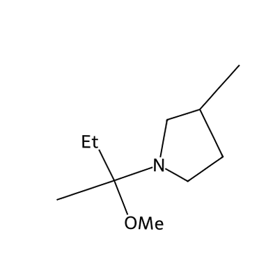 CCC(C)(OC)N1CCC(C)C1